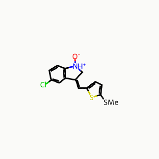 CSc1ccc(C=C2C[NH+]([O-])c3ccc(Cl)cc32)s1